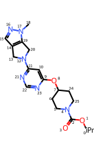 CC(C)OC(=O)N1CCC(Oc2cc(N3Cc4cnn(C)c4C3)ncn2)CC1